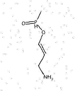 C[PH](=O)OC=CCN